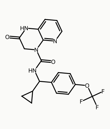 O=C1CN(C(=O)NC(c2ccc(OC(F)(F)F)cc2)C2CC2)c2ncccc2N1